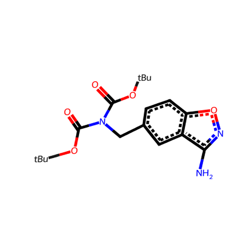 CC(C)(C)OC(=O)N(Cc1ccc2onc(N)c2c1)C(=O)OC(C)(C)C